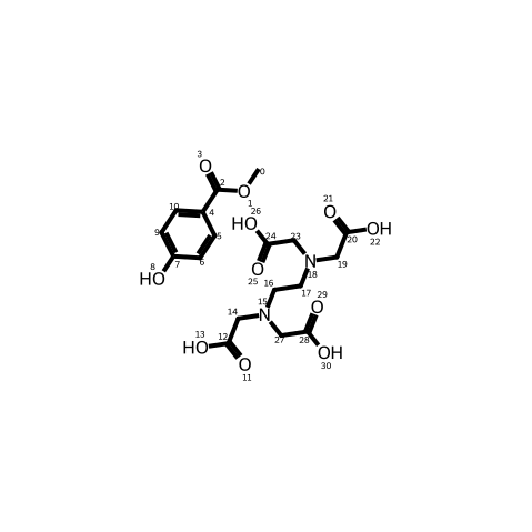 COC(=O)c1ccc(O)cc1.O=C(O)CN(CCN(CC(=O)O)CC(=O)O)CC(=O)O